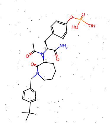 CC(=O)N([C@@H](Cc1ccc(OP(=O)(O)O)cc1)C(N)=O)[C@H]1CCCCN(Cc2ccc(C(C)(C)C)cc2)C1=O